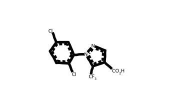 O=C(O)c1cnn(-c2cc(Cl)ccc2Cl)c1C(F)(F)F